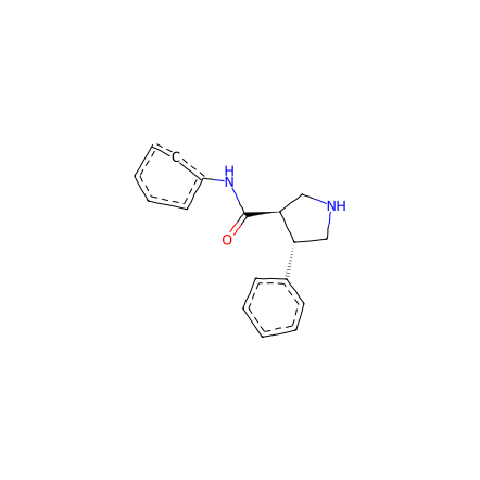 O=C(Nc1ccccc1)[C@H]1CNC[C@@H]1c1ccccc1